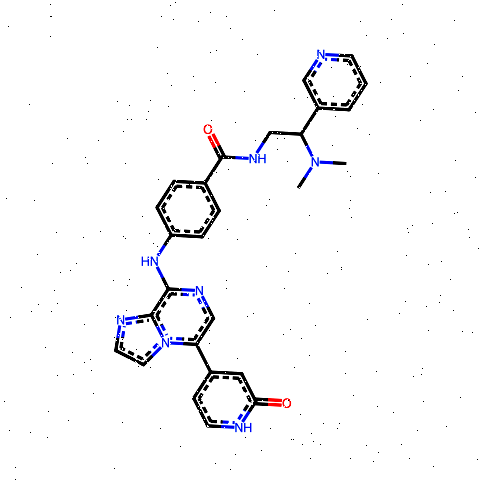 CN(C)C(CNC(=O)c1ccc(Nc2ncc(-c3cc[nH]c(=O)c3)n3ccnc23)cc1)c1cccnc1